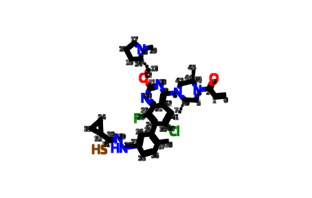 C=CC(=O)N1C[C@H](C)N(c2nc(OC[C@@H]3CCCN3C)nc3c(F)c(-c4cc(N/N=C(\S)C5CC5)ccc4C)c(Cl)cc23)C[C@H]1C